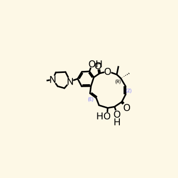 CC1OC(=O)c2c(O)cc(N3CCN(C)CC3)cc2/C=C/CC(O)C(O)C(=O)/C=C\[C@H]1C